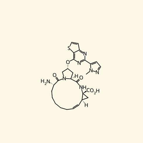 Cn1nccc1-c1nc(O[C@@H]2C[C@H]3C(=O)N[C@]4(C(=O)O)C[C@H]4/C=C\CCCCC[C@H](N)C(=O)N3C2)c2sccc2n1